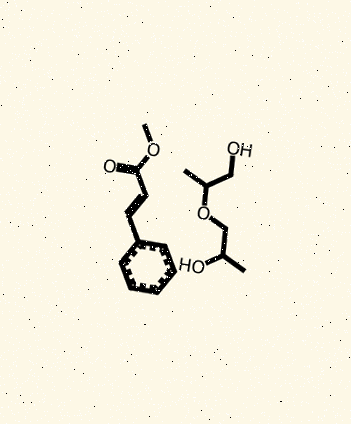 CC(O)COC(C)CO.COC(=O)C=Cc1ccccc1